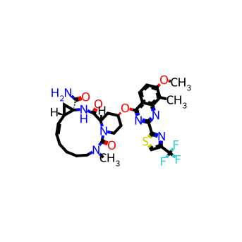 COc1ccc2c(O[C@H]3CCN4C(=O)N(C)CCCCC=C[C@@H]5C[C@@]5(C(N)=O)NC(=O)[C@@H]4C3)nc(-c3nc(C(F)(F)F)cs3)nc2c1C